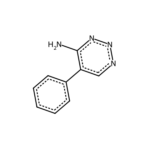 Nc1nnncc1-c1ccccc1